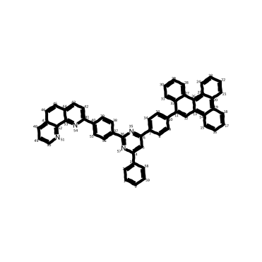 c1ccc(-c2cc(-c3ccc(-c4cc5c6ccccc6c6ccccc6c5c5ccccc45)cc3)nc(-c3ccc(-c4ccc5ccc6cccnc6c5n4)cc3)n2)cc1